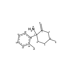 C=C1CC(C)CCC1(N)c1ccccc1C